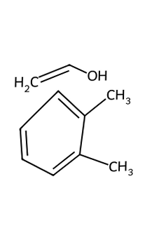 C=CO.Cc1ccccc1C